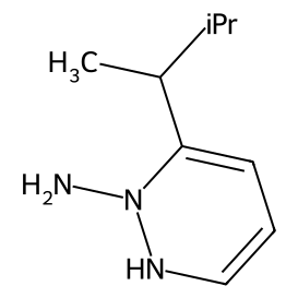 CC(C)C(C)C1=CC=CNN1N